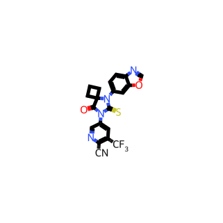 N#Cc1ncc(N2C(=O)C3(CCC3)N(c3ccc4ncoc4c3)C2=S)cc1C(F)(F)F